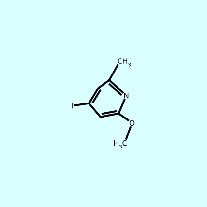 COc1cc(I)cc(C)n1